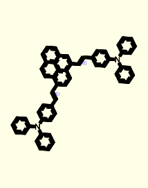 C(=C\c1ccc2c(/C=C/c3ccc(N(c4ccccc4)c4ccccc4)cc3)cc3cccc4ccc1c2c43)/c1ccc(N(c2ccccc2)c2ccccc2)cc1